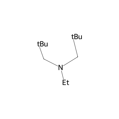 [CH2]CN(CC(C)(C)C)CC(C)(C)C